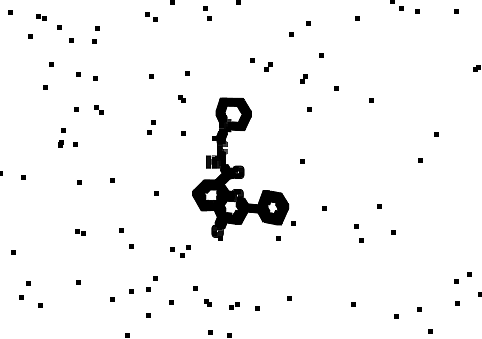 O=C(NCCN1CCCCC1)c1cccc2c(=O)cc(-c3ccccc3)oc12